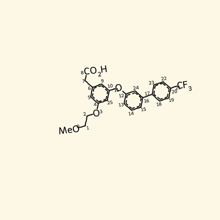 COCCOc1cc(CC(=O)O)cc(Oc2cccc(-c3ccc(C(F)(F)F)cc3)c2)c1